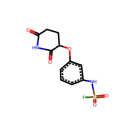 O=C1CCC(Oc2cccc(NS(=O)(=O)F)c2)C(=O)N1